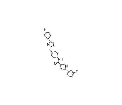 O=C(NC1CCN(Cc2nc(-c3ccc(F)cc3)cs2)CC1)c1ccc(-c2cccc(F)c2)nc1